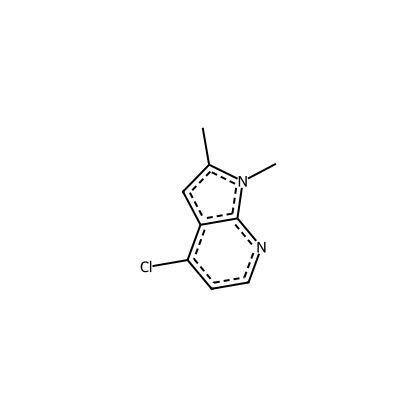 Cc1cc2c(Cl)ccnc2n1C